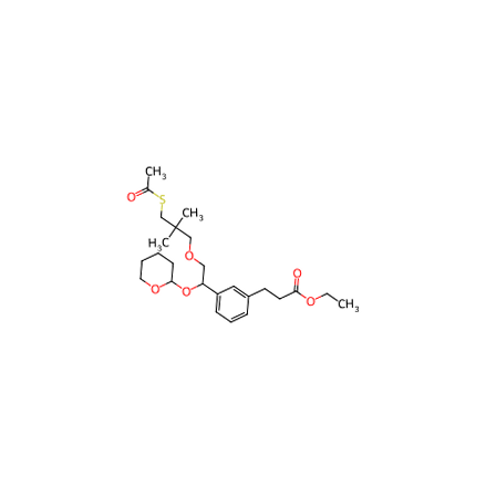 CCOC(=O)CCc1cccc(C(COCC(C)(C)CSC(C)=O)OC2CCCCO2)c1